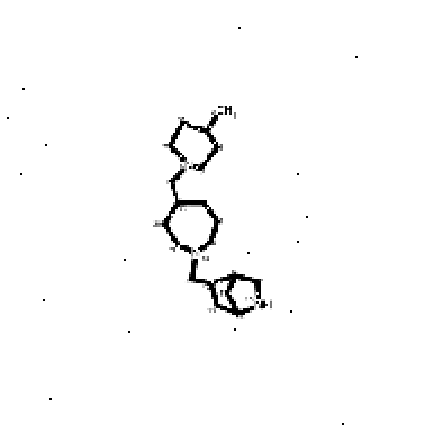 CC1CCN(C[C@H]2CCCN(CC3CC4CC3CN4)CC2)CC1